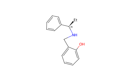 CC[C@@H](NCc1ccccc1O)c1ccccc1